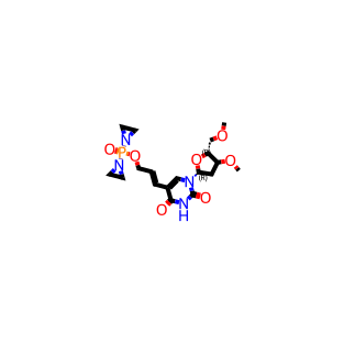 COC[C@H]1O[C@@H](n2cc(C=CCOP(=O)(N3CC3)N3CC3)c(=O)[nH]c2=O)CC1OC